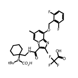 Cc1cc(OCc2c(F)cccc2F)c2nc(C)c(C(=O)NCC3(N(C(=O)O)C(C)(C)C)CCCCC3)n2c1.O=C(O)C(F)(F)F